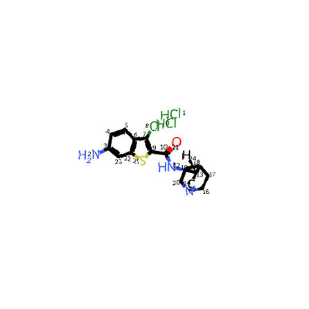 Cl.Cl.Nc1ccc2c(Cl)c(C(=O)N[C@H]3CN4CCC3CC4)sc2c1